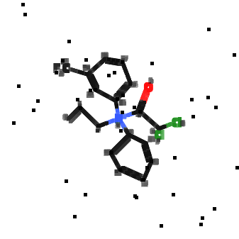 C=CC[N+](C(=O)C(Cl)Cl)(c1ccccc1)c1cccc(C(F)(F)F)c1